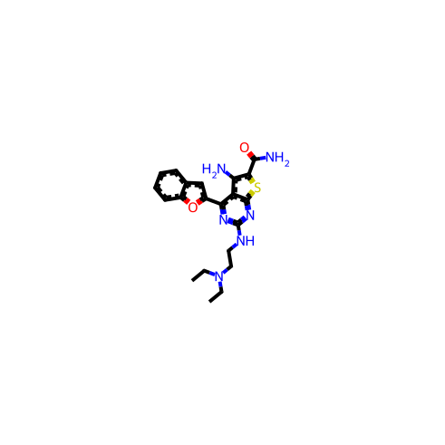 CCN(CC)CCNc1nc(-c2cc3ccccc3o2)c2c(N)c(C(N)=O)sc2n1